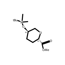 COC(=O)[C@@H]1CC[C@@H](O[Si](C)(C)C(C)(C)C)CO1